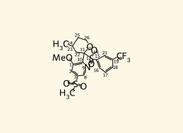 COc1cc(S(C)(=O)=O)cnc1C1(S(=O)(=O)c2cccc(C(F)(F)F)c2)CC(C)CCO1